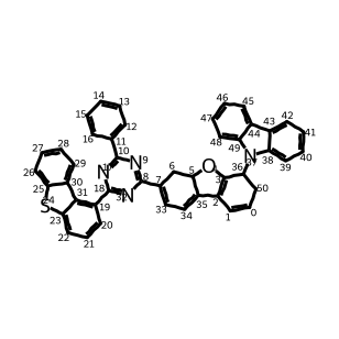 C1=CC2=C(OC3CC(c4nc(-c5ccccc5)nc(-c5cccc6sc7ccccc7c56)n4)=CC=C23)C(n2c3ccccc3c3ccccc32)C1